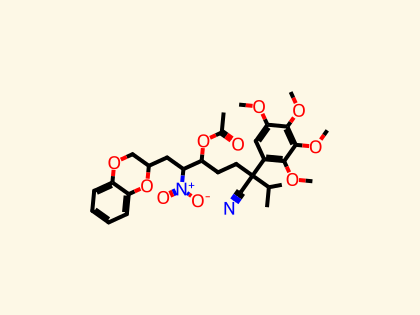 COc1cc(C(C#N)(CCC(OC(C)=O)C(CC2COc3ccccc3O2)[N+](=O)[O-])C(C)C)c(OC)c(OC)c1OC